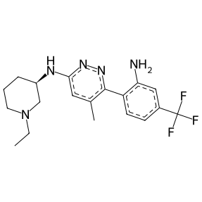 CCN1CCC[C@@H](Nc2cc(C)c(-c3ccc(C(F)(F)F)cc3N)nn2)C1